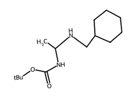 CC(NCC1CCCCC1)NC(=O)OC(C)(C)C